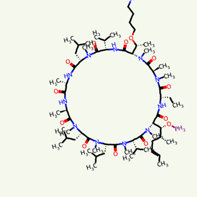 C/C=C/C[C@@H](C)[C@@H](OP)[C@H]1C(=O)N[C@@H](CC)C(=O)N(C)[C@H](C)C(=O)N(C)[C@@H]([C@@H](C)OCCCCN2CCOCC2)C(=O)N[C@@H](C(C)C)C(=O)N(C)[C@@H](CC(C)C)C(=O)N[C@@H](C)C(=O)N[C@H](C)C(=O)N(C)[C@@H](CC(C)C)C(=O)N(C)[C@@H](CC(C)C)C(=O)N(C)[C@@H](C(C)C)C(=O)N1C